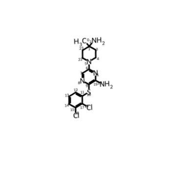 CC1(N)CCN(c2cnc(Sc3cccc(Cl)c3Cl)c(N)n2)CC1